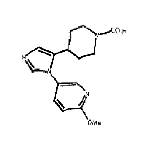 COc1ccc(-n2cncc2C2CCN(C(=O)O)CC2)cn1